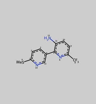 CSc1ccc(-c2nc(C(F)(F)F)ccc2N)cn1